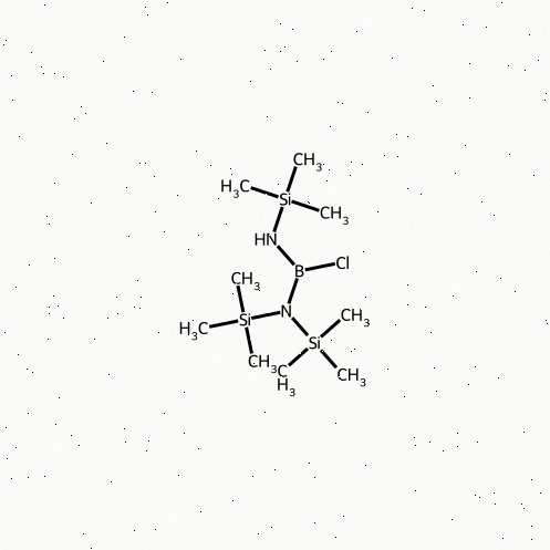 C[Si](C)(C)NB(Cl)N([Si](C)(C)C)[Si](C)(C)C